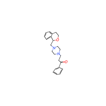 O=C(CCN1CCN(CC2OCCc3ccccc32)CC1)c1ccccc1